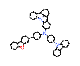 c1ccc2c(c1)oc1cc(-c3ccc(N(c4ccc(-n5c6ccccc6c6ccccc65)cc4)c4ccc5c6cccc7c8ccccc8n(c5c4)c76)cc3)ccc12